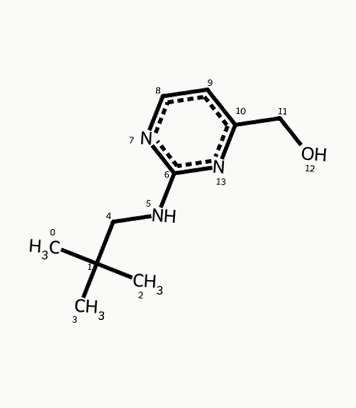 CC(C)(C)CNc1nccc(CO)n1